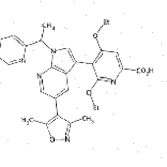 CCOc1cc(C(=O)O)nc(OCC)c1-c1cn(C(C)c2ccccn2)c2ncc(-c3c(C)noc3C)cc12